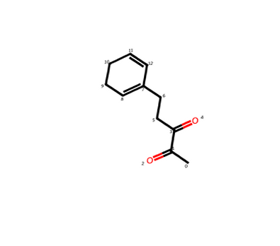 CC(=O)C(=O)CCC1=CCCC=C1